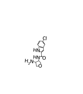 NC1COCC1NC(=O)c1cc2cc(Cl)ccc2[nH]1